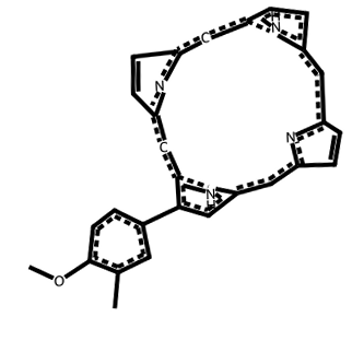 COc1ccc(-c2cc3cc4nc(cc5ccc(cc6nc(cc2[nH]3)C=C6)[nH]5)C=C4)cc1C